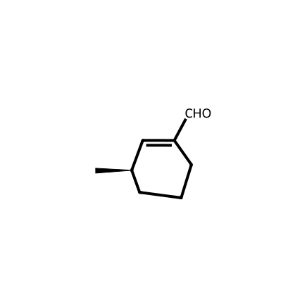 C[C@H]1C=C(C=O)CCC1